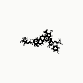 CC(C)C1=C2[C@H]3CC[C@@H]4[C@@]5(C)CC[C@H](OC(=O)CC(C)(C)C(=O)O)C(C)(C)[C@@H]5CC[C@@]4(C)[C@]3(C)CC[C@@]2(Cc2cc(=O)n(-c3ccc(Cl)cc3)n2CCN(C)C)CC1=O